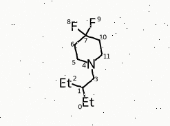 CCC(CC)CN1CCC(F)(F)CC1